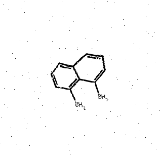 Bc1cccc2cccc(B)c12